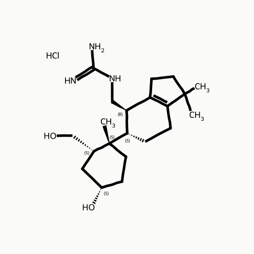 CC1(C)CCC2=C1CC[C@H]([C@]1(C)CC[C@H](O)C[C@@H]1CO)[C@H]2CNC(=N)N.Cl